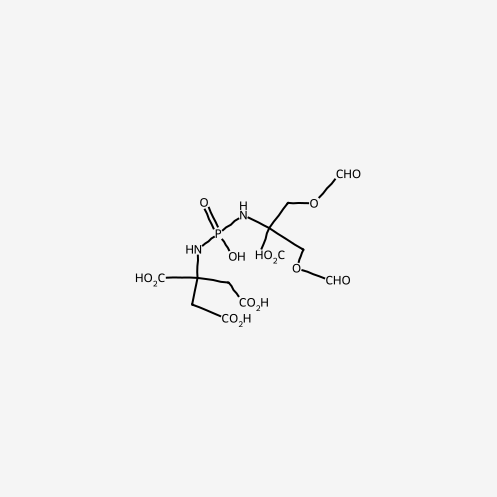 O=COCC(COC=O)(NP(=O)(O)NC(CC(=O)O)(CC(=O)O)C(=O)O)C(=O)O